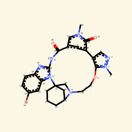 Cn1ncc2c1OCCN1CC3(CCCC1C3)n1c(nc3ccc(Br)cc31)NC(=O)c1cc-2c(=O)n(C)c1